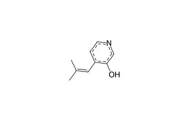 CC(C)=Cc1ccncc1O